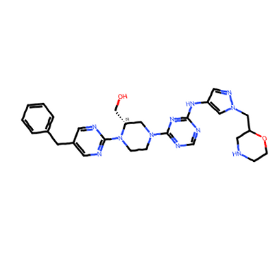 OC[C@@H]1CN(c2ncnc(Nc3cnn(CC4CNCCO4)c3)n2)CCN1c1ncc(Cc2ccccc2)cn1